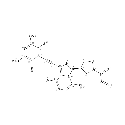 C=CC(=O)N1CC[C@H](c2nc(C#Cc3c(F)c(OC)nc(OC)c3F)c3c(N)ncc(C)n23)C1